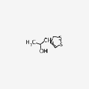 C1=CSSC1.CC(C)O